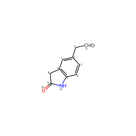 O=CCc1ccc2c(c1)CC(=O)N2